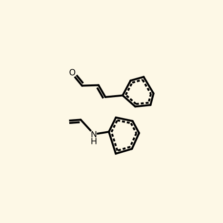 C=CNc1ccccc1.O=CC=Cc1ccccc1